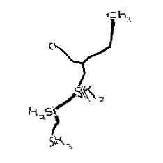 CCC(Cl)[SiH2][SiH2][SiH3]